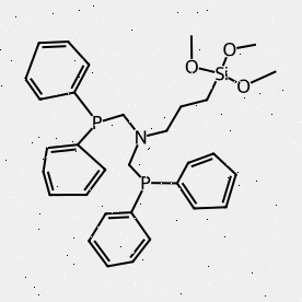 CO[Si](CCCN(CP(c1ccccc1)c1ccccc1)CP(c1ccccc1)c1ccccc1)(OC)OC